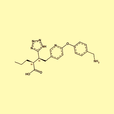 CCC[C@H](C(=O)O)[C@H](Cc1ccc(Oc2ccc(CN)cc2)nc1)c1nnn[nH]1